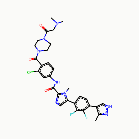 Cc1n[nH]cc1-c1ccc(-c2cnc(C(=O)Nc3ccc(C(=O)N4CCN(C(=O)CN(C)C)CC4)c(Cl)c3)n2C)c(F)c1F